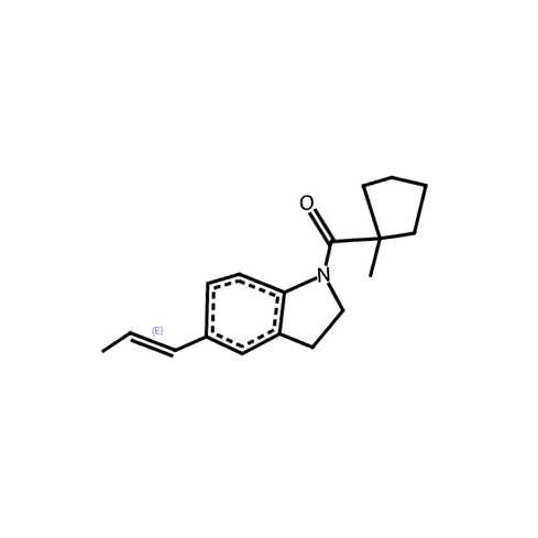 C/C=C/c1ccc2c(c1)CCN2C(=O)C1(C)CCCC1